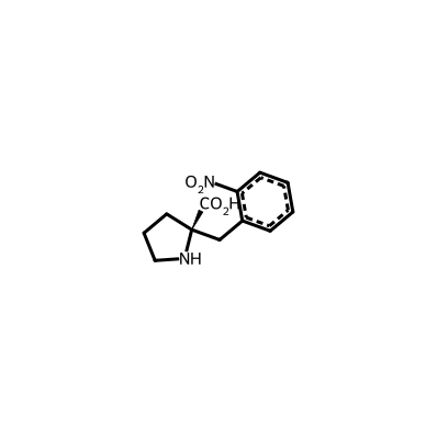 O=C(O)[C@]1(Cc2ccccc2[N+](=O)[O-])CCCN1